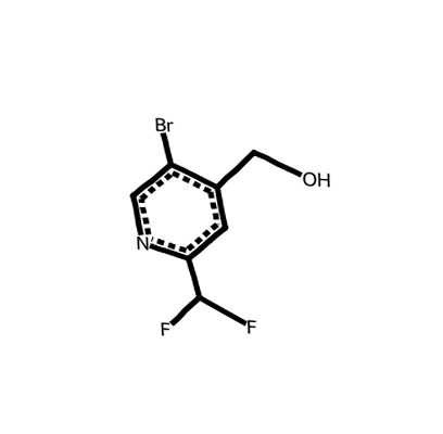 OCc1cc(C(F)F)ncc1Br